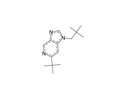 CC(C)(C)Cn1cnc2cnc(C(C)(C)C)cc21